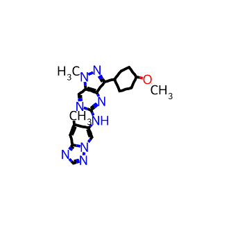 COC1CCC(c2nn(C)c3cnc(Nc4cn5ncnc5cc4C)nc23)CC1